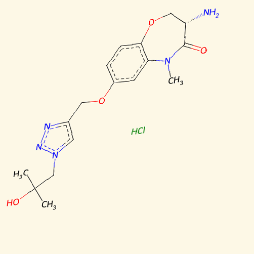 CN1C(=O)[C@@H](N)COc2ccc(OCc3cn(CC(C)(C)O)nn3)cc21.Cl